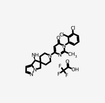 Cc1nc(N2CCC3(CC2)Cn2nccc2[C@H]3N)cc(=O)n1-c1cccc(Cl)c1Cl.O=C(O)C(F)(F)F